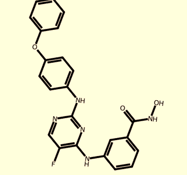 O=C(NO)c1cccc(Nc2nc(Nc3ccc(Oc4ccccc4)cc3)ncc2F)c1